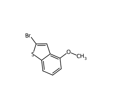 COc1cccc2sc(Br)cc12